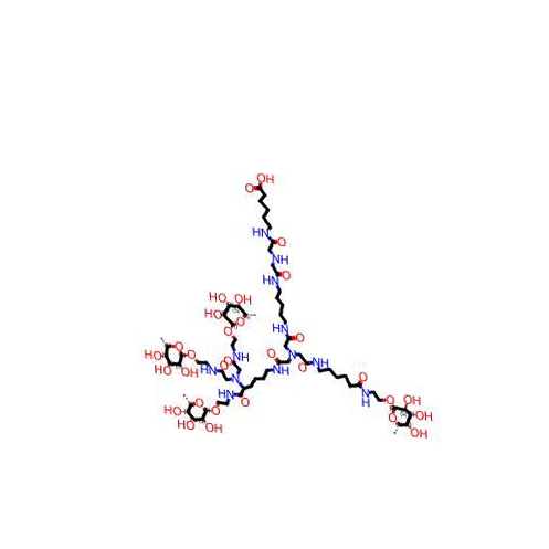 C[C@@H]1O[C@@H](OCCNC(=O)CCCCCNC(=O)CN(CC(=O)NCCCCCNC(=O)CNCC(=O)NCCCCCC(=O)O)CC(=O)NCCCCC(C(=O)NCCO[C@@H]2O[C@@H](C)[C@@H](O)[C@@H](O)[C@@H]2O)N(CC(=O)NCCO[C@@H]2O[C@@H](C)[C@@H](O)[C@@H](O)[C@@H]2O)CC(=O)NCCO[C@@H]2O[C@@H](C)[C@@H](O)[C@@H](O)[C@@H]2O)[C@@H](O)[C@H](O)[C@@H]1O